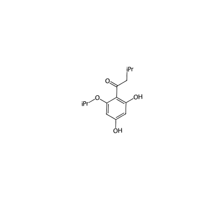 CC(C)CC(=O)c1c(O)cc(O)cc1OC(C)C